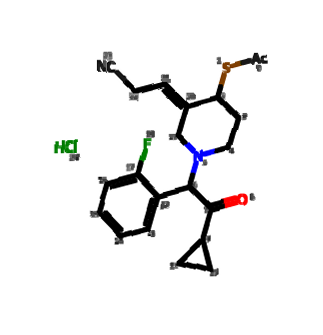 CC(=O)SC1CCN(C(C(=O)C2CC2)c2ccccc2F)C/C1=C\CC#N.Cl